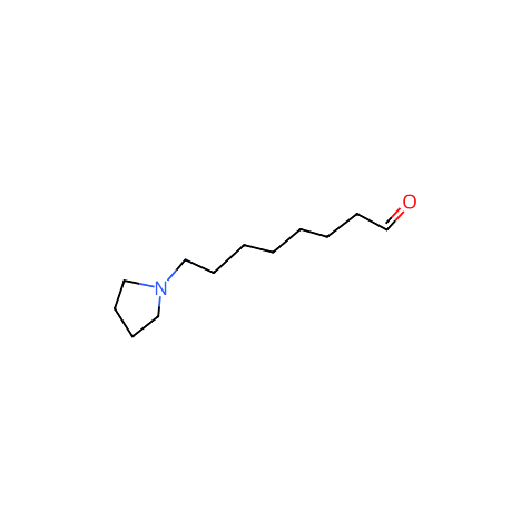 O=CCCCCCCCN1CCCC1